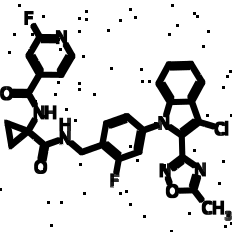 Cc1nc(-c2c(Cl)c3ccccc3n2-c2ccc(CNC(=O)C3(NC(=O)c4ccnc(F)c4)CC3)c(F)c2)no1